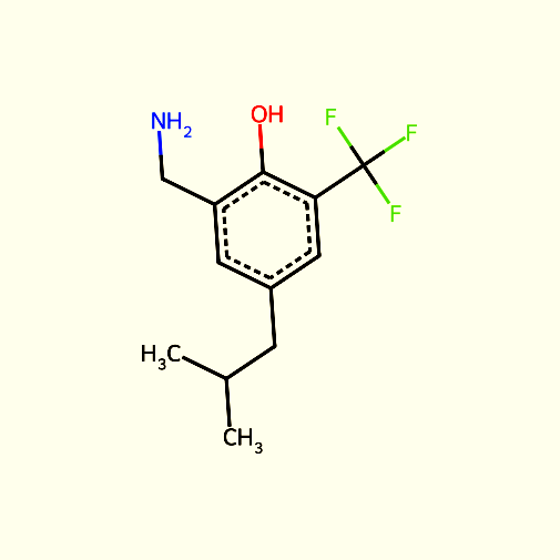 CC(C)Cc1cc(CN)c(O)c(C(F)(F)F)c1